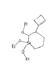 CCOC1C(C2=CCC2)CCC[Si]1(OCC)OCC